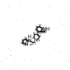 C[C@H](CN1CC=C(c2cccc3[nH]ccc23)CC1)Nc1ccccn1